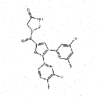 O=C1CN(C(=O)c2cc(-c3cc(F)cc(Cl)c3)c(-c3ccc(F)c(Cl)c3)o2)CN1